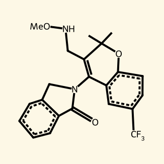 CONCC1=C(N2Cc3ccccc3C2=O)c2cc(C(F)(F)F)ccc2OC1(C)C